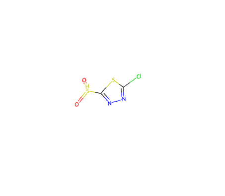 O=[SH](=O)c1nnc(Cl)s1